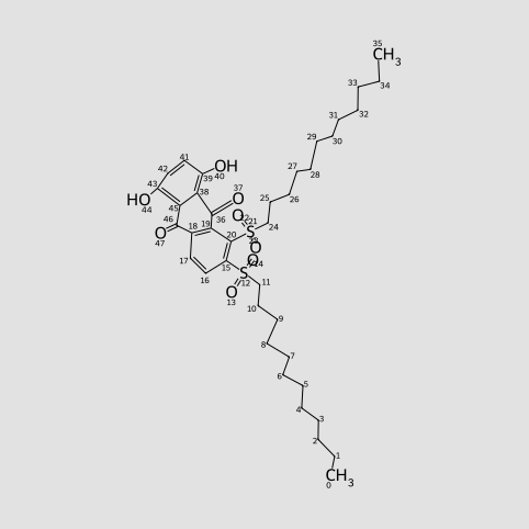 CCCCCCCCCCCCS(=O)(=O)c1ccc2c(c1S(=O)(=O)CCCCCCCCCCCC)C(=O)c1c(O)ccc(O)c1C2=O